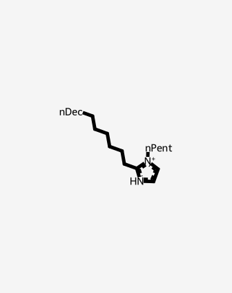 CCCCCCCCCCCCCCCCc1[nH]cc[n+]1CCCCC